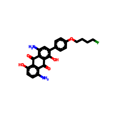 Nc1ccc(O)c2c1C(=O)c1c(O)c(-c3ccc(OCCCCF)cc3)cc(N)c1C2=O